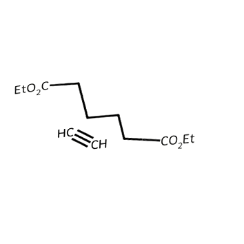 C#C.CCOC(=O)CCCCC(=O)OCC